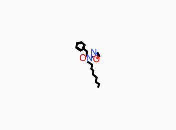 CCCCCCCCCN(C(=O)Cc1ccccc1)c1ncco1